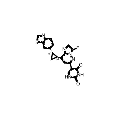 O=c1[nH]cc(-c2cc([C@H]3C[C@@H]3c3ccc4ncsc4c3)c3ncc(F)n3n2)c(=O)[nH]1